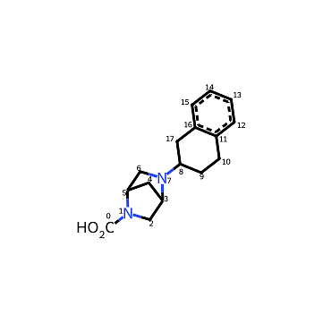 O=C(O)N1CC2CC1CN2C1CCc2ccccc2C1